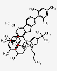 Cl.Cl.[CH2]=[Zr]([C]1=CC(C(C)(C)C)=CC1CCCC)([c]1ccc(C)cc1)([c]1ccc(C)cc1)[c]1c(-c2c(C)cc(C)cc2C)ccc2c1Cc1cc(-c3c(C)cc(C)cc3C)ccc1-2